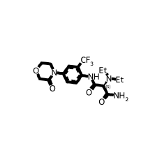 CCN(CC)[C@@H](C(N)=O)C(=O)Nc1ccc(N2CCOCC2=O)cc1C(F)(F)F